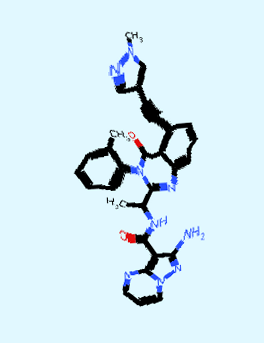 Cc1ccccc1-n1c(C(C)NC(=O)c2c(N)nn3cccnc23)nc2cccc(C#Cc3cnn(C)c3)c2c1=O